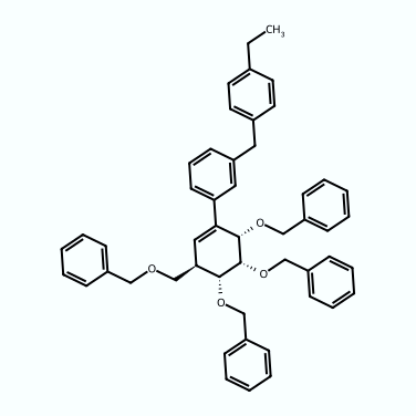 CCc1ccc(Cc2cccc(C3=C[C@H](COCc4ccccc4)[C@@H](OCc4ccccc4)[C@@H](OCc4ccccc4)[C@H]3OCc3ccccc3)c2)cc1